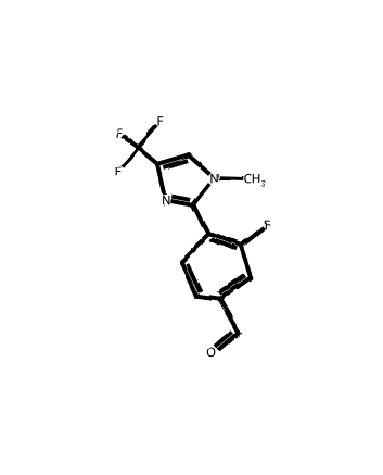 Cn1cc(C(F)(F)F)nc1-c1ccc(C=O)cc1F